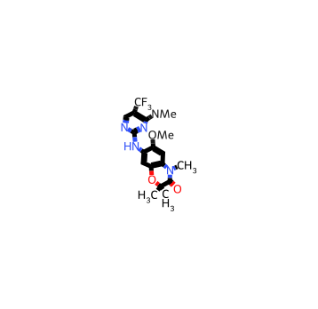 CNc1nc(Nc2cc3c(cc2OC)N(C)C(=O)C(C)(C)O3)ncc1C(F)(F)F